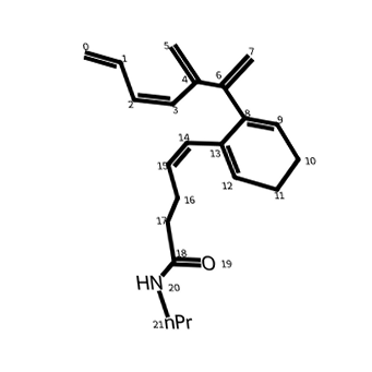 C=C/C=C\C(=C)C(=C)C1=CCCC=C1/C=C\CCC(=O)NCCC